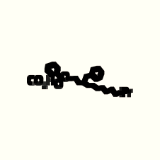 CC(C)CCCCCCCC(CCCOC(=O)c1ccccc1C(=O)O)Cc1ccccc1